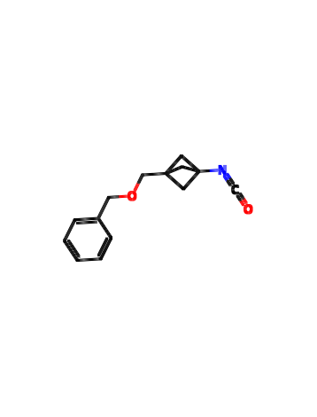 O=C=NC12CC(COCc3ccccc3)(C1)C2